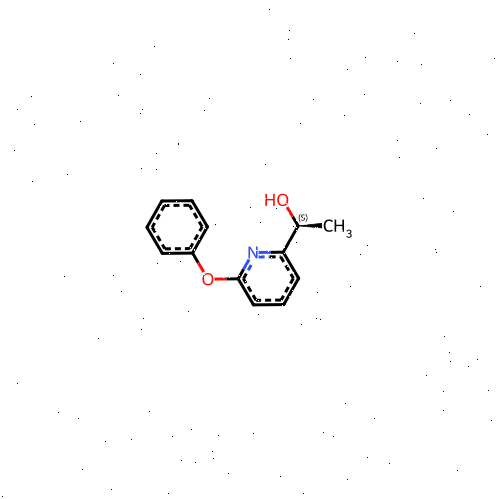 C[C@H](O)c1cccc(Oc2ccccc2)n1